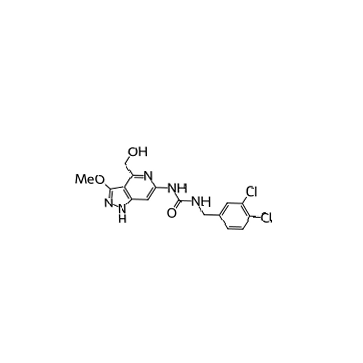 COc1n[nH]c2cc(NC(=O)NCc3ccc(Cl)c(Cl)c3)nc(CO)c12